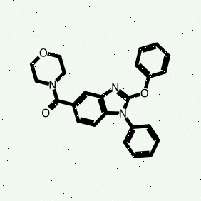 O=C(c1ccc2c(c1)nc(Oc1ccccc1)n2-c1ccccc1)N1CCOCC1